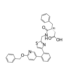 O=C(O)C[C@@H](Cc1ccccc1)C(=O)NCc1nc(-c2ccccc2-c2ccc(OCc3ccccc3)nc2)cs1